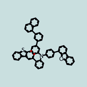 c1cc(-c2cccc(N(c3ccc(-c4cccc5c4oc4ccccc45)cc3)c3ccccc3-c3ccc4sc5ccccc5c4c3)c2)cc(-c2cccc3ccccc23)c1